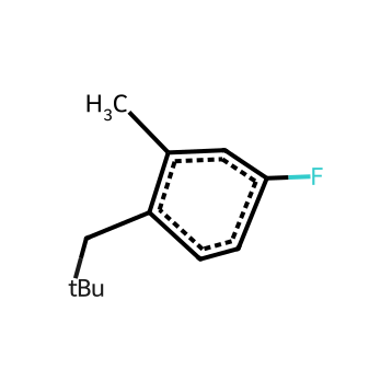 Cc1cc(F)ccc1CC(C)(C)C